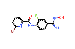 N=C(NO)c1ccc(NC(=O)c2cccc(Br)n2)c(F)c1